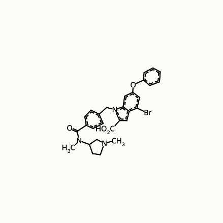 CN1CCC(N(C)C(=O)c2ccc(Cn3c(C(=O)O)cc4c(Br)cc(Oc5ccccc5)cc43)cc2)C1